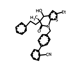 CCc1cc2c(s1)N(Cc1ccc(-c3ccccc3C#N)cc1)C(=O)C(C)(CCc1ccccc1)C2O